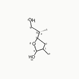 CC1CC([C@@H](C)CO)OC1O